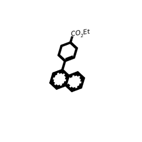 CCOC(=O)C1CC=C(c2cccc3ccccc23)CC1